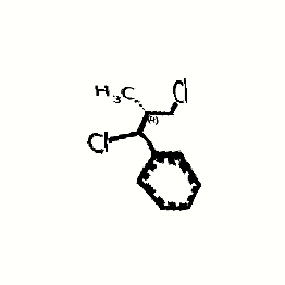 C[C@H](CCl)C(Cl)c1ccccc1